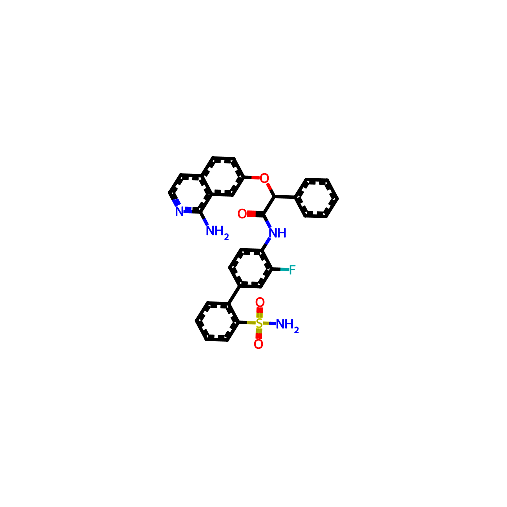 Nc1nccc2ccc(OC(C(=O)Nc3ccc(-c4ccccc4S(N)(=O)=O)cc3F)c3ccccc3)cc12